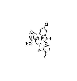 C[C@H](O)C1C[C@@H](c2cccc(Cl)c2F)[C@@]2(C(=O)Nc3cc(Cl)ccc32)N1CC1CC1